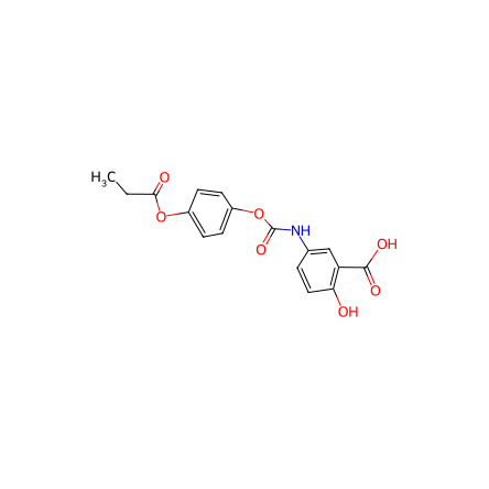 CCC(=O)Oc1ccc(OC(=O)Nc2ccc(O)c(C(=O)O)c2)cc1